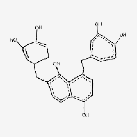 OC1=CCC(Cc2ccc3c(O)ccc(Cc4ccc(O)c(O)c4)c3c2O)C=C1O